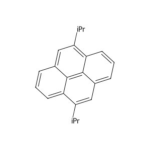 CC(C)c1cc2cccc3c(C(C)C)cc4cccc1c4c23